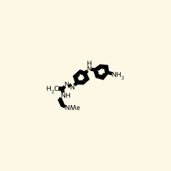 C=C(N=Nc1ccc(Nc2ccc(N)cc2)cc1)N/C=C\NC